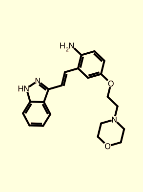 Nc1ccc(OCCN2CCOCC2)cc1C=Cc1n[nH]c2ccccc12